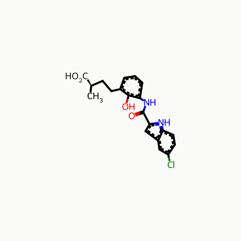 C[C@H](CCc1cccc(NC(=O)c2cc3cc(Cl)ccc3[nH]2)c1O)C(=O)O